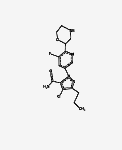 CCCc1nn(-c2cnc(C3CNCCO3)c(F)c2)c(C(N)=O)c1Cl